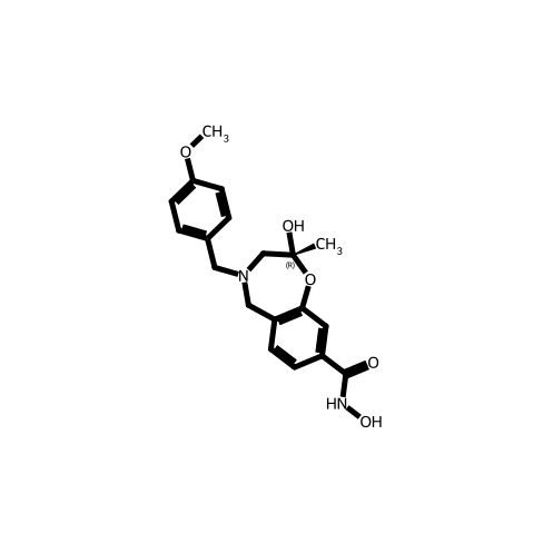 COc1ccc(CN2Cc3ccc(C(=O)NO)cc3O[C@@](C)(O)C2)cc1